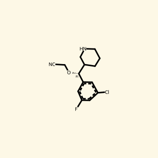 N#CCO[C@@H](c1cc(F)cc(Cl)c1)C1CCCNC1